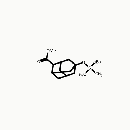 COC(=O)C1C2CC3CC1CC(O[Si](C)(C)C(C)(C)C)(C3)C2